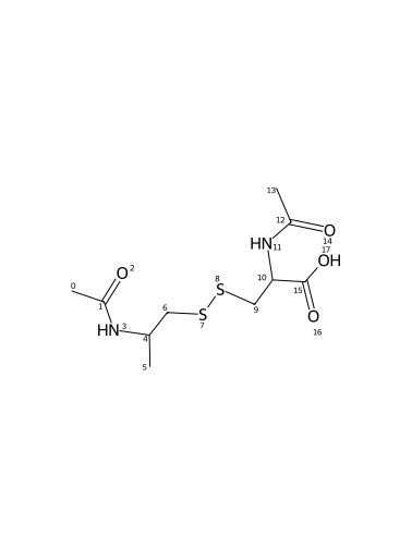 CC(=O)NC(C)CSSCC(NC(C)=O)C(=O)O